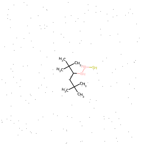 CC(C)(C)CC(BBS)C(C)(C)C